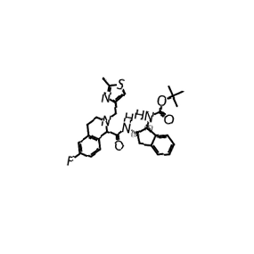 Cc1nc(CN2CCc3cc(F)ccc3C2C(=O)N[C@H]2Cc3ccccc3[C@@H]2NC(=O)OC(C)(C)C)cs1